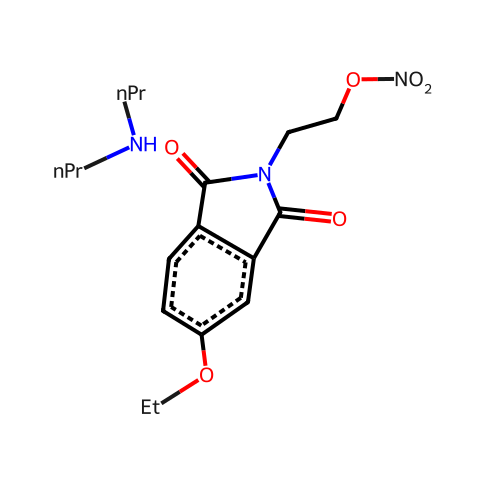 CCCNCCC.CCOc1ccc2c(c1)C(=O)N(CCO[N+](=O)[O-])C2=O